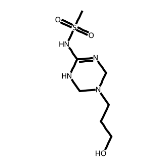 CS(=O)(=O)NC1=NCN(CCCO)CN1